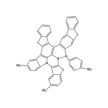 CC(C)(C)c1ccc(N2B3c4sc5ccc(C(C)(C)C)cc5c4-n4c5ccc(C(C)(C)C)cc5c5c6sc7ccccc7c6c(c3c54)-c3cc4c(cc32)sc2ccccc24)cc1